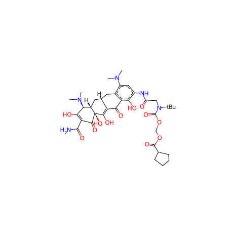 CN(C)c1cc(NC(=O)CN(C(=O)OCOC(=O)C2CCCC2)C(C)(C)C)c(O)c2c1C[C@H]1C[C@H]3[C@H](N(C)C)C(O)=C(C(N)=O)C(=O)[C@@]3(O)C(O)=C1C2=O